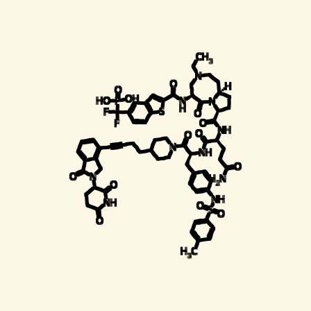 CCN1CC[C@H]2CC[C@@H](C(=O)N[C@@H](CCC(N)=O)C(=O)N[C@@H](Cc3ccc(NS(=O)(=O)c4ccc(C)cc4)cc3)C(=O)N3CCC(CCC#Cc4cccc5c4CN(C4CCC(=O)NC4=O)C5=O)CC3)N2C(=O)[C@@H](NC(=O)c2cc3cc(C(F)(F)P(=O)(O)O)ccc3s2)C1